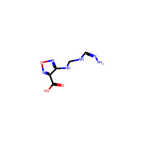 N/N=C\NCNc1nonc1C(=O)O